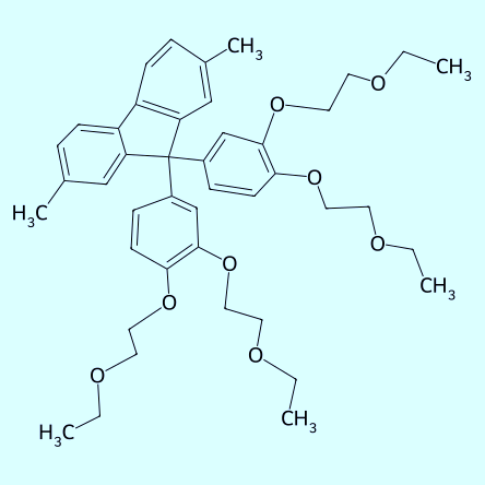 CCOCCOc1ccc(C2(c3ccc(OCCOCC)c(OCCOCC)c3)c3cc(C)ccc3-c3ccc(C)cc32)cc1OCCOCC